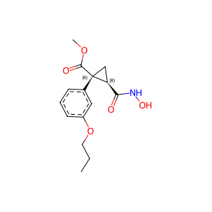 CCCOc1cccc([C@@]2(C(=O)OC)C[C@H]2C(=O)NO)c1